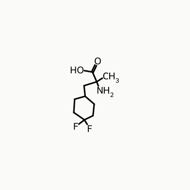 CC(N)(CC1CCC(F)(F)CC1)C(=O)O